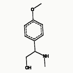 CNC(CO)c1ccc(OC)cc1